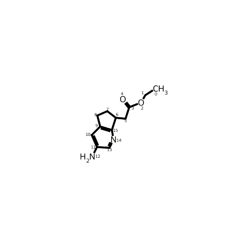 CCOC(=O)CC1CCc2cc(N)cnc21